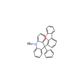 CC(C)(C)N1c2ccccc2C(c2ccccc2)(c2cccc3c2oc2ccccc23)c2ccccc21